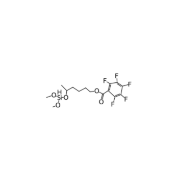 CO[SiH](OC)OC(C)CCCCOC(=O)c1c(F)c(F)c(F)c(F)c1F